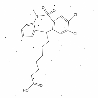 CN1c2ccccc2C(CCCCCCC(=O)O)c2cc(Cl)c(Cl)cc2S1(=O)=O